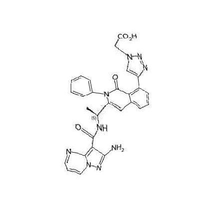 C[C@H](NC(=O)c1c(N)nn2cccnc12)c1cc2cccc(-c3cn(CC(=O)O)nn3)c2c(=O)n1-c1ccccc1